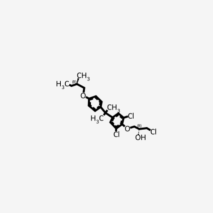 CC[C@@H](C)COc1ccc(C(C)(C)c2cc(Cl)c(OC[C@@H](O)CCl)c(Cl)c2)cc1